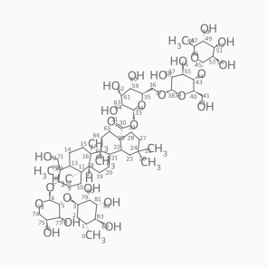 C[C@@H]1C[C@@H](O[C@H]2[C@H](O[C@H]3CC[C@@]4(C)C(CC[C@]5(C)[C@@H]4CC=C4C6CC(C)(C)CC[C@]6(C(=O)O[C@@H]6O[C@H](CO[C@@H]7O[C@H](CO)[C@@H](O[C@@H]8O[C@@H](C)[C@H](O)[C@@H](O)[C@H]8O)[C@H](O)[C@H]7O)[C@@H](O)[C@H](O)[C@H]6O)CC[C@]45C)[C@]3(C)CO)OC[C@H](O)[C@@H]2O)[C@H](O)[C@H](O)[C@H]1O